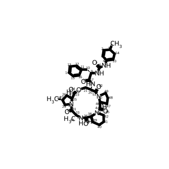 CC1C=CC(NC(=O)N[C@@H](Cc2ccccc2)C(=O)N[C@H]2COC(=O)[C@@H]3C[C@H](C)CN3C(=O)[C@H](C)NC(=O)[C@@H]3CCCCN3C(=O)[C@@H]3CCCN3C2=O)=CC1